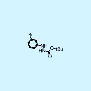 CC(C)(C)OC(=O)NNc1cccc(Br)c1